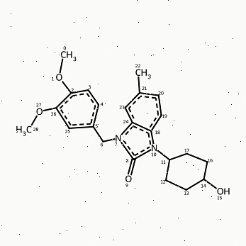 COc1ccc(Cn2c(=O)n(C3CCC(O)CC3)c3ccc(C)cc32)cc1OC